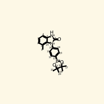 Cc1cccc2[nH]c(=O)n(-c3ccc(B4OC(C)(C)C(C)(C)O4)cc3)c12